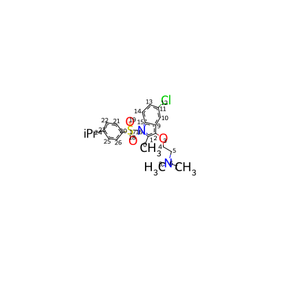 Cc1c(OCCN(C)C)c2cc(Cl)ccc2n1S(=O)(=O)c1ccc(C(C)C)cc1